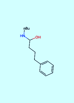 CCCCNC(O)CCCc1ccccc1